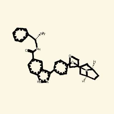 CCC[C@H](NC(=O)c1ccc2[nH]nc(-c3ccc(O[C@H]4C[C@H]5CC[C@@H](C4)N5C4COC4)cc3)c2c1)c1ccccc1